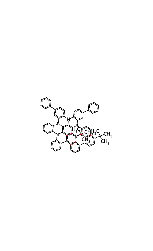 CC(C)(C)c1ccc(-c2ccccc2N2c3ccccc3B3c4cc(-c5ccccc5)ccc4N4c5ccc(-c6ccccc6)cc5B5c6ccccc6N(c6ccccc6-c6ccc(C(C)(C)C)cc6)c6cc2c3c4c65)cc1